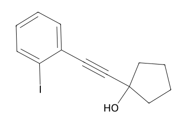 OC1(C#Cc2ccccc2I)CCCC1